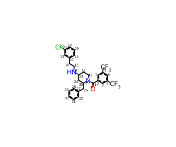 O=C(c1cc(C(F)(F)F)cc(C(F)(F)F)c1)N1CC[C@H](NCCc2cccc(Cl)c2)C[C@@H]1Cc1ccccc1